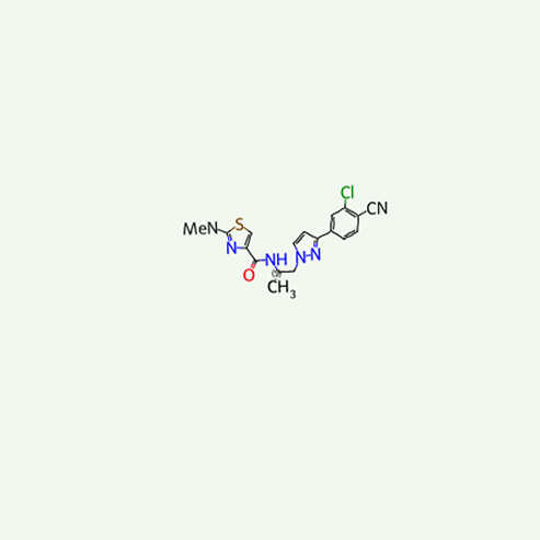 CNc1nc(C(=O)N[C@@H](C)Cn2ccc(-c3ccc(C#N)c(Cl)c3)n2)cs1